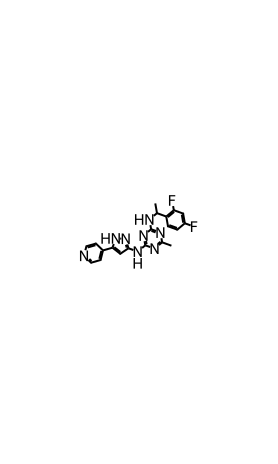 Cc1nc(Nc2cc(-c3ccncc3)[nH]n2)nc(NC(C)c2ccc(F)cc2F)n1